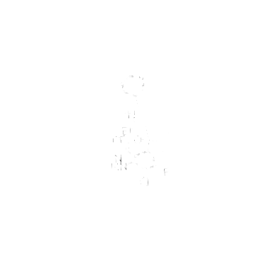 CCOC1(c2cc(F)c(Cl)c3[nH]nc(C(F)(F)F)c23)C(C)CCCC1CN(C)Cc1ccccc1